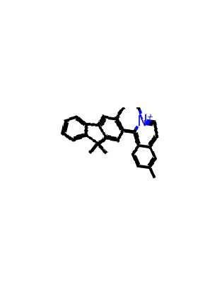 Cc1ccc2c(-c3cc4c(cc3C)-c3ccccc3C4(C)C)[n+](C)ccc2c1